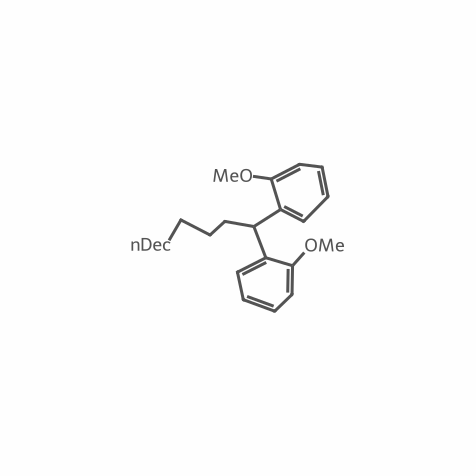 CCCCCCCCCCCCCC(c1ccccc1OC)c1ccccc1OC